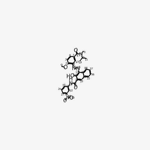 COc1ccc(C(=O)N(C)C(C)C)cc1/N=N/c1c(O)c(C(=O)Nc2cccc([N+](=O)[O-])c2)cc2ccccc12